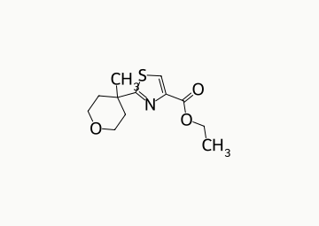 CCOC(=O)c1csc(C2(C)CCOCC2)n1